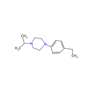 CCc1ccc(N2CCN(C(C)C)CC2)cc1